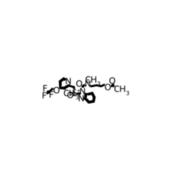 CC(=O)OCCCCN(C)C(=O)n1c([S@+]([O-])Cc2nccc(OCC(F)(F)F)c2C)nc2ccccc21